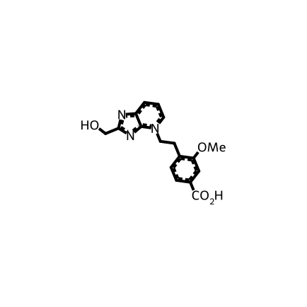 COc1cc(C(=O)O)ccc1CCn1cccc2nc(CO)nc1-2